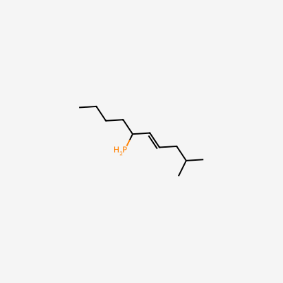 CCCCC(P)C=CCC(C)C